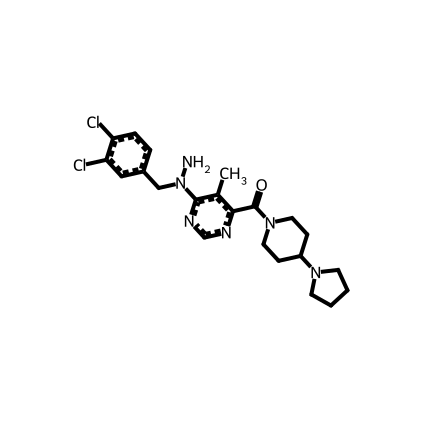 Cc1c(C(=O)N2CCC(N3CCCC3)CC2)ncnc1N(N)Cc1ccc(Cl)c(Cl)c1